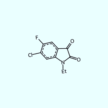 CCN1C(=O)C(=O)c2cc(F)c(Cl)cc21